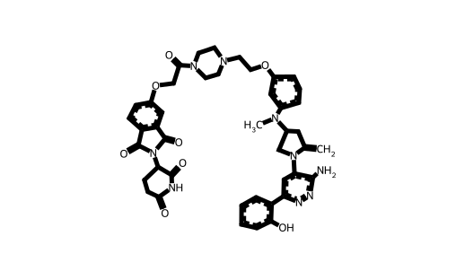 C=C1CC(N(C)c2cccc(OCCN3CCN(C(=O)COc4ccc5c(c4)C(=O)N(C4CCC(=O)NC4=O)C5=O)CC3)c2)CN1c1cc(-c2ccccc2O)nnc1N